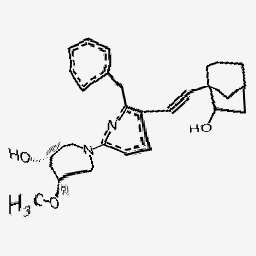 CO[C@@H]1CN(c2ccc(C#CC34CCC(CC3O)C4)c(Cc3ccccc3)n2)C[C@H]1O